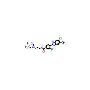 CCN(CC)CCCNC(=O)c1ccc(-c2nc3cc(Cl)c(C)cc3[nH]2)c(F)c1